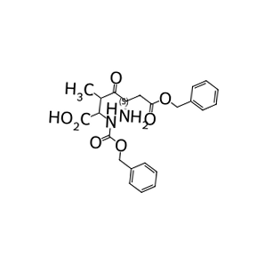 CC(C(=O)[C@@H](N)CC(=O)OCc1ccccc1)C(NC(=O)OCc1ccccc1)C(=O)O